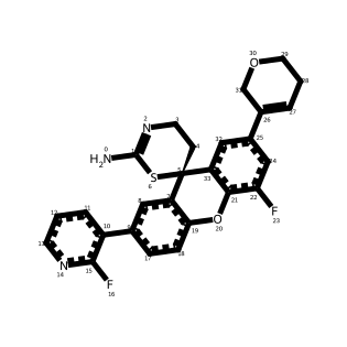 NC1=NCC[C@]2(S1)c1cc(-c3cccnc3F)ccc1Oc1c(F)cc(C3=CCCOC3)cc12